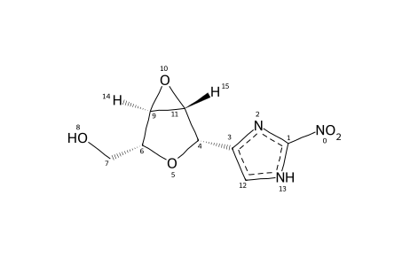 O=[N+]([O-])c1nc([C@@H]2O[C@H](CO)[C@H]3O[C@@H]32)c[nH]1